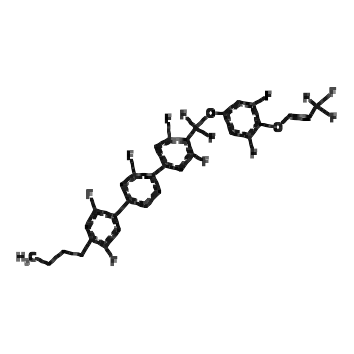 CCCCc1cc(F)c(-c2ccc(-c3cc(F)c(C(F)(F)Oc4cc(F)c(O/C=C/C(F)(F)F)c(F)c4)c(F)c3)c(F)c2)cc1F